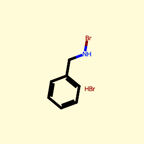 Br.BrNCc1ccccc1